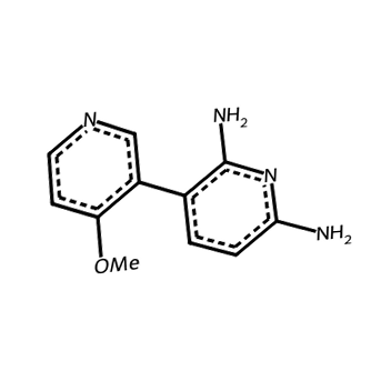 COc1ccncc1-c1ccc(N)nc1N